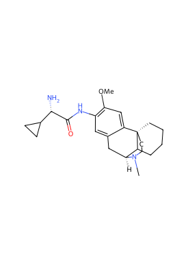 COc1cc2c(cc1NC(=O)[C@@H](N)C1CC1)C[C@H]1C3CCCC[C@@]23CCN1C